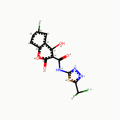 O=C(Nc1nnc(C(F)F)s1)c1c(O)c2cc(F)ccc2oc1=O